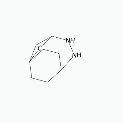 C1CC23CCC1NNC(C2)C3